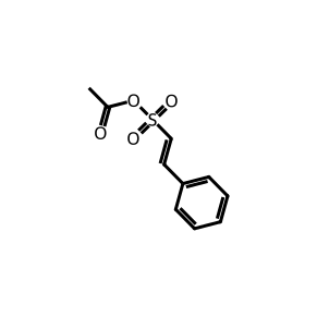 CC(=O)OS(=O)(=O)C=Cc1ccccc1